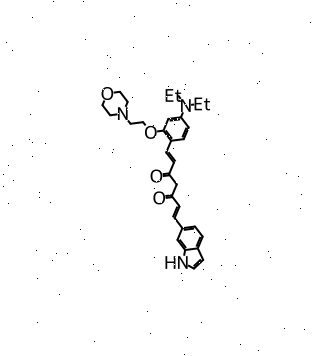 CCN(CC)c1ccc(C=CC(=O)CC(=O)C=Cc2ccc3cc[nH]c3c2)c(OCCN2CCOCC2)c1